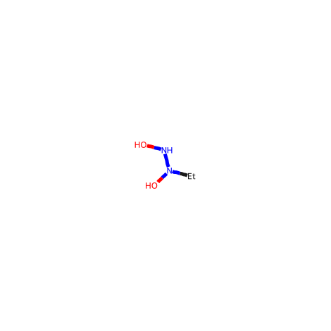 CCN(O)NO